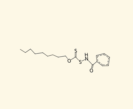 CCCCCCCCCOC(=S)SNC(=O)c1ccccc1